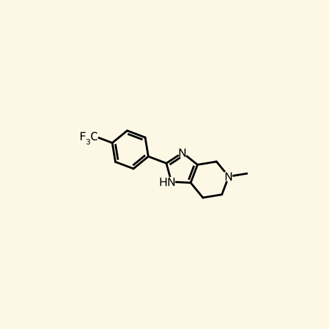 CN1CCc2[nH]c(-c3ccc(C(F)(F)F)cc3)nc2C1